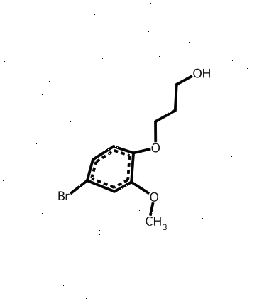 COc1cc(Br)ccc1OCCCO